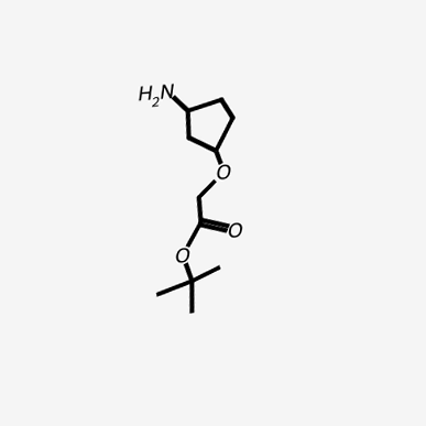 CC(C)(C)OC(=O)COC1CCC(N)C1